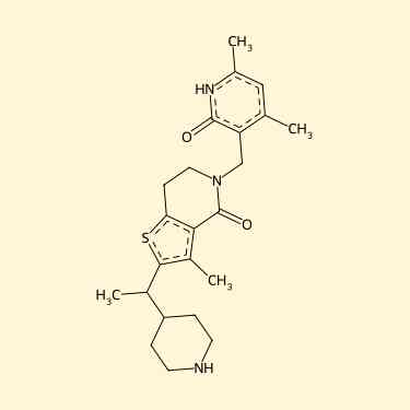 Cc1cc(C)c(CN2CCc3sc(C(C)C4CCNCC4)c(C)c3C2=O)c(=O)[nH]1